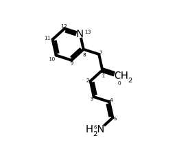 C=C(/C=C\C=C/N)Cc1ccccn1